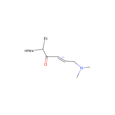 CCCCCCC(CC)C(=O)/C=C/CN(C)C